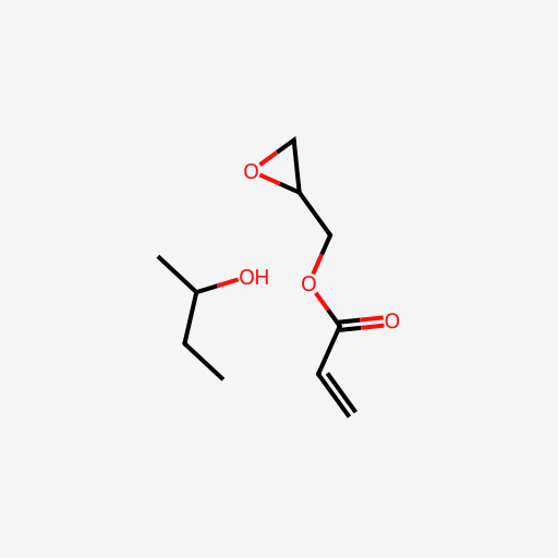 C=CC(=O)OCC1CO1.CCC(C)O